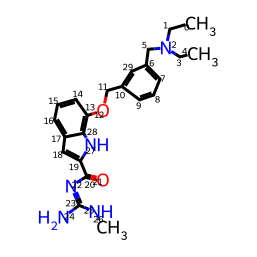 CCN(CC)Cc1cccc(COc2cccc3cc(C(=O)N=C(N)NC)[nH]c23)c1